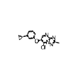 Cc1nc2ncc(Oc3cccc(C4CC4)c3)c(Cl)n2n1